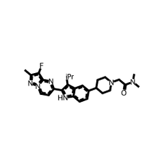 Cc1nn2ccc(-c3[nH]c4ccc(C5CCN(CC(=O)N(C)C)CC5)cc4c3C(C)C)nc2c1F